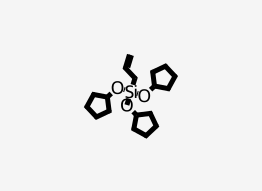 C=CC[Si](OC1CCCC1)(OC1CCCC1)OC1CCCC1